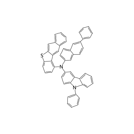 c1ccc(-c2ccc3cc(N(c4ccc5c(c4)c4ccccc4n5-c4ccccc4)c4cccc5sc6cc7ccccc7cc6c45)ccc3c2)cc1